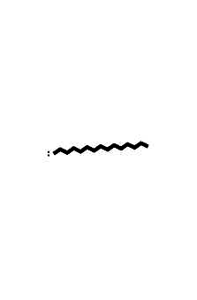 [CH]CCCCCCCCCCCCCC